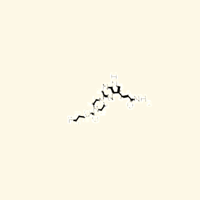 NC(=O)/C=C/c1c[nH]c2ncc(N3CCN(C(=O)OCCCF)CC3)nc12